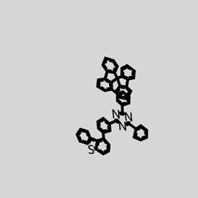 c1ccc(-c2nc(-c3cccc(-c4cccc5c4C4(c6ccccc6-c6ccccc64)c4ccccc4-5)c3)nc(-c3cccc(-c4cccc5sc6ccccc6c45)c3)n2)cc1